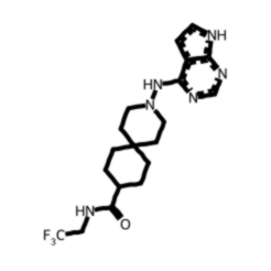 O=C(NCC(F)(F)F)C1CCC2(CC1)CCN(Nc1ncnc3[nH]ccc13)CC2